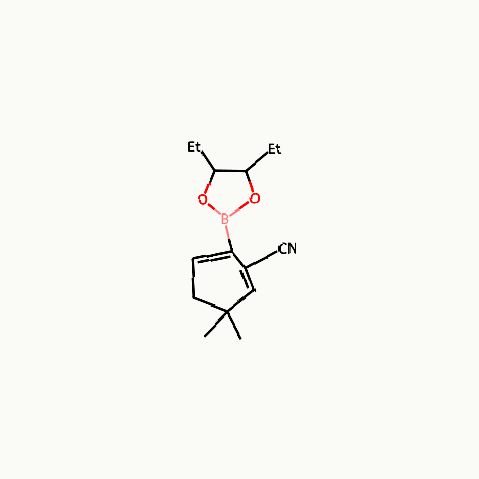 CCC1OB(C2=CCC(C)(C)C=C2C#N)OC1CC